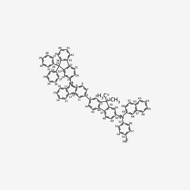 CC1(C)c2cc(-c3ccc4c(c3)c3ccccc3n4-c3ccc4c(c3)C(c3ccccc3)(c3ccccc3)c3ccccc3-4)ccc2-c2ccc(N(c3ccc(F)cc3)c3ccc4ccccc4c3)cc21